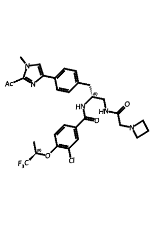 CC(=O)c1nc(-c2ccc(C[C@H](CNC(=O)CN3CCC3)NC(=O)c3ccc(O[C@H](C)C(F)(F)F)c(Cl)c3)cc2)cn1C